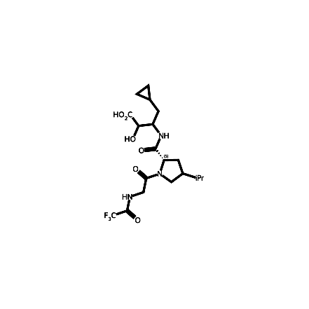 CC(C)C1C[C@@H](C(=O)NC(CC2CC2)C(O)C(=O)O)N(C(=O)CNC(=O)C(F)(F)F)C1